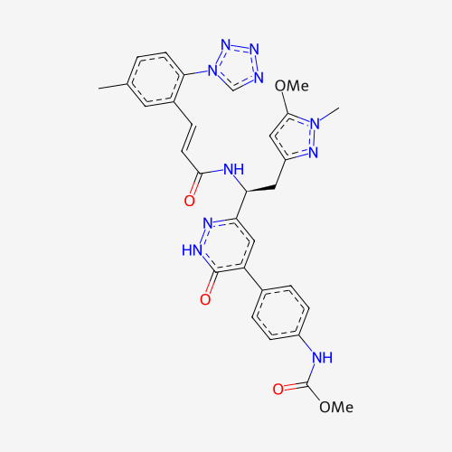 COC(=O)Nc1ccc(-c2cc([C@H](Cc3cc(OC)n(C)n3)NC(=O)/C=C/c3cc(C)ccc3-n3cnnn3)n[nH]c2=O)cc1